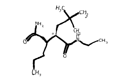 CCCC(C(N)=O)[C@@H](CC(C)(C)C)C(=O)NCC